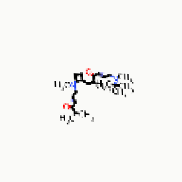 CC(C)C(=O)/C=C/CN(C)C1CCC1CC(C)C(=O)/C=C/CN(C)C(C)(C)C